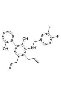 C=CCc1cc(-c2ccccc2O)c(O)c(NCc2ccc(F)c(F)c2)c1CC=C